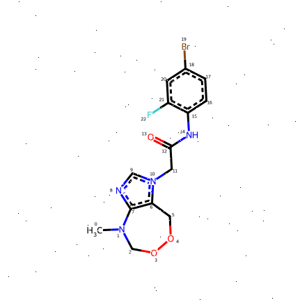 CN1COOCc2c1ncn2CC(=O)Nc1ccc(Br)cc1F